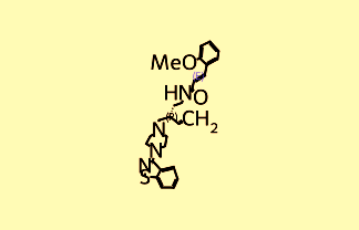 C=C[C@@H](CCNC(=O)/C=C/c1ccccc1OC)CN1CCN(c2nsc3ccccc23)CC1